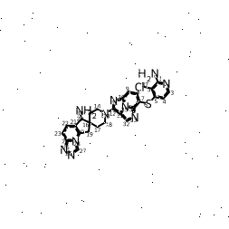 Nc1nccc(Sc2ccc3nc(N4CCC5(CC4)Cc4c(ccc6nncn46)[C@H]5N)c4cnc2n34)c1Cl